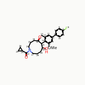 COc1cc(-c2ccc(F)cc2)cc(C)c1C1C(=O)CCCN(C(=O)C2CC2)CCCC1O